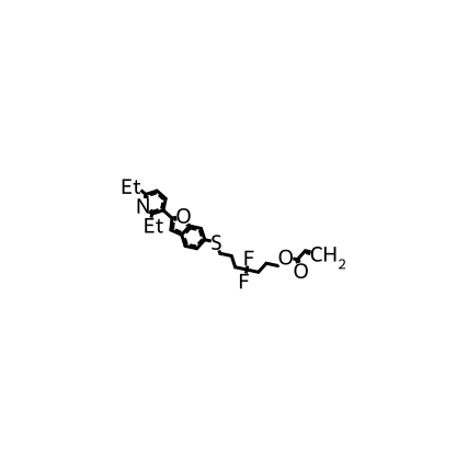 C=CC(=O)OCCCC(F)(F)CCCSc1ccc2cc(-c3ccc(CC)nc3CC)oc2c1